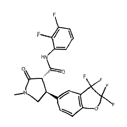 CN1C[C@H](c2ccc3c(c2)C(F)(F)C(F)(F)O3)[C@@H](C(=O)Nc2cccc(F)c2F)C1=O